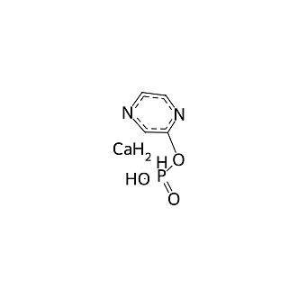 O=[PH](O)Oc1cnccn1.[CaH2]